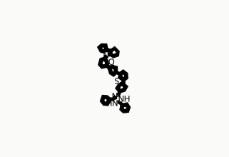 C1=Cc2c(c3ccccc3n2-c2cccc3c2oc2cc(-c4cccc5c4sc4cc(C6N=C(c7ccccc7)NC(c7ccccc7)N6)ccc45)ccc23)CC1